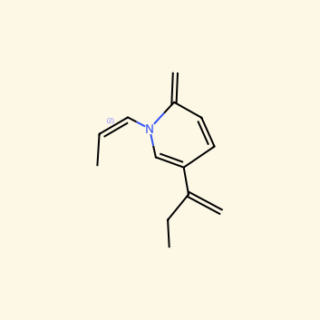 C=C(CC)C1=CN(/C=C\C)C(=C)C=C1